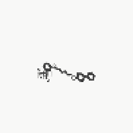 NC(=S)Nc1cccc(OCCCCCCOc2ccc(-c3ccccc3)cc2)c1